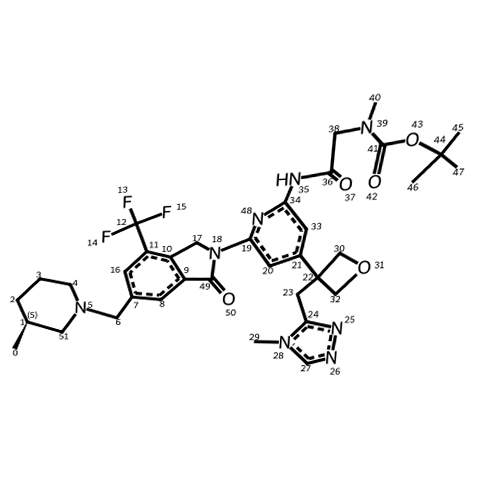 C[C@H]1CCCN(Cc2cc3c(c(C(F)(F)F)c2)CN(c2cc(C4(Cc5nncn5C)COC4)cc(NC(=O)CN(C)C(=O)OC(C)(C)C)n2)C3=O)C1